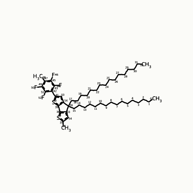 CCCCCCCCCCCCCCCCC1(CCCCCCCCCCCCCCCC)c2cc(C)sc2-c2sc(-c3c(F)c(F)c(C)c(F)c3F)cc21